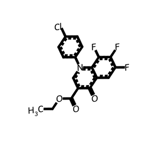 CCOC(=O)c1cn(-c2ccc(Cl)cc2)c2c(F)c(F)c(F)cc2c1=O